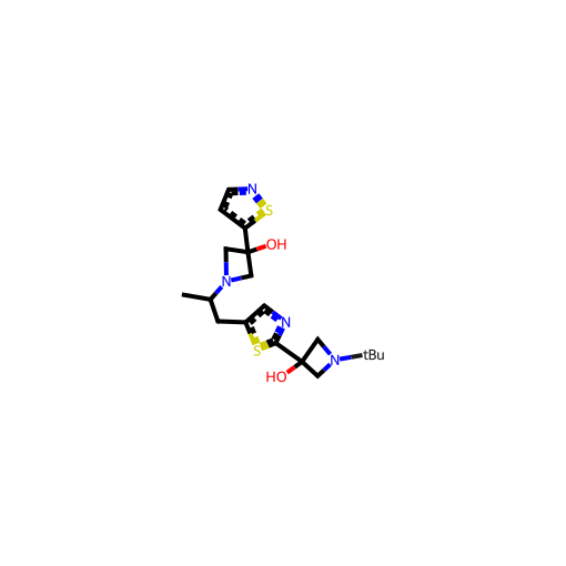 CC(Cc1cnc(C2(O)CN(C(C)(C)C)C2)s1)N1CC(O)(c2ccns2)C1